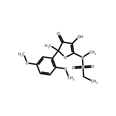 CCS(=O)(=O)N(C)C1=C(O)C(=O)C(C)(c2cc(OC)ccc2OC)O1